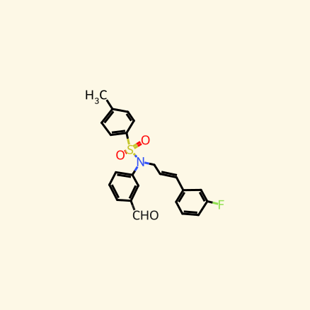 Cc1ccc(S(=O)(=O)N(C/C=C/c2cccc(F)c2)c2cccc(C=O)c2)cc1